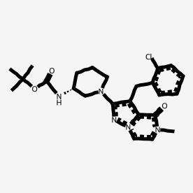 Cn1ccn2nc(N3CCC[C@@H](NC(=O)OC(C)(C)C)C3)c(Cc3ccccc3Cl)c2c1=O